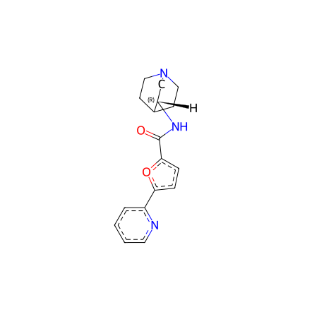 O=C(N[C@H]1CN2CCC1CC2)c1ccc(-c2ccccn2)o1